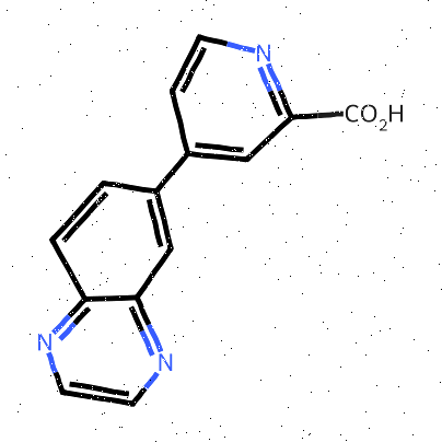 O=C(O)c1cc(-c2ccc3nccnc3c2)ccn1